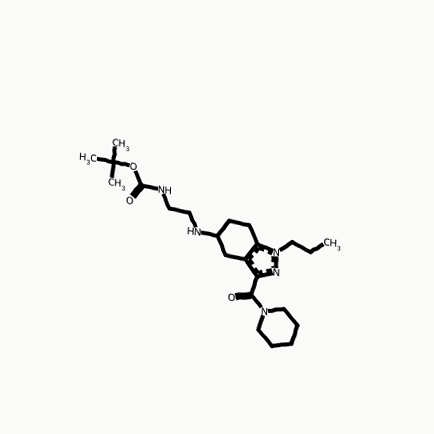 CCCn1nc(C(=O)N2CCCCC2)c2c1CCC(NCCNC(=O)OC(C)(C)C)C2